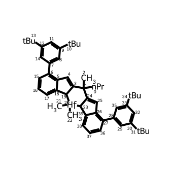 CCCC1(C)C2=Cc3c(-c4cc(C(C)(C)C)cc(C(C)(C)C)c4)cccc3[CH]2[Hf]([CH3])([CH3])[CH]2C1=Cc1c(-c3cc(C(C)(C)C)cc(C(C)(C)C)c3)cccc12